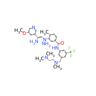 COc1cncc(/C(N)=C/N(N)c2cc(C(=O)Nc3cc(CN(C)CCN(C)C)cc(C(F)(F)F)c3)ccc2C)c1